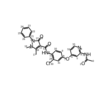 CC(=O)Nc1cc(Oc2ccc(NC(=O)c3c(C)n(C)n(-c4ccccc4)c3=O)c(Cl)c2)ccn1